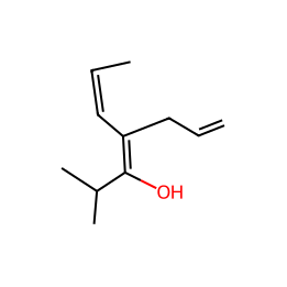 C=CCC(/C=C\C)=C(\O)C(C)C